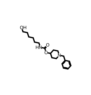 O=C(NCCCCCCO)OC1CCN(Cc2ccccc2)CC1